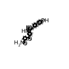 NC(=O)c1cccc(C(=O)c2ccc3c(c2)NC(=O)C3=CNc2ccc(N3CCC(O)CC3)cc2)c1